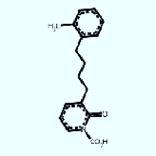 Cc1ccccc1CCCCc1cccn(C(=O)O)c1=O